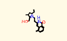 CCC1CC(C)C(CO)N1CCc1cc2c(C)cccc2c(=O)[nH]1